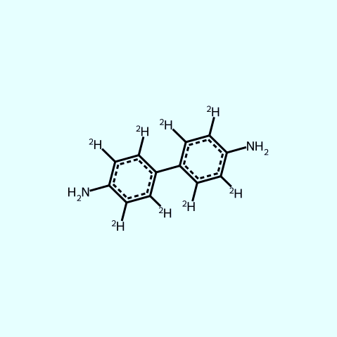 [2H]c1c([2H])c(-c2c([2H])c([2H])c(N)c([2H])c2[2H])c([2H])c([2H])c1N